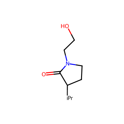 CC(C)C1CCN(CCO)C1=O